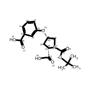 CC(C)(C)OC(=O)N1C[C@@H](Oc2cccc(C(=O)O)c2)C[C@H]1C(=O)O